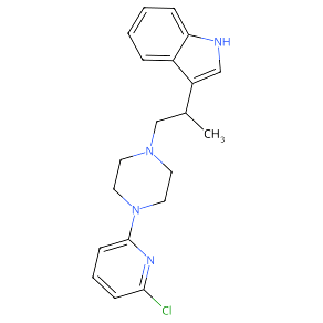 CC(CN1CCN(c2cccc(Cl)n2)CC1)c1c[nH]c2ccccc12